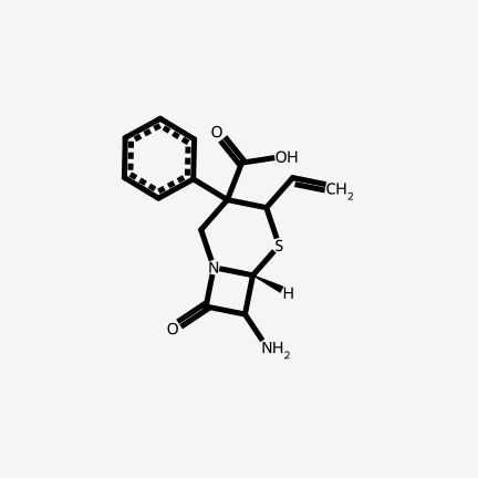 C=CC1S[C@@H]2C(N)C(=O)N2CC1(C(=O)O)c1ccccc1